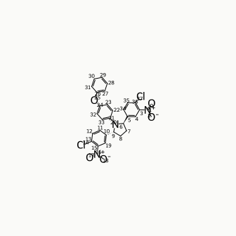 O=[N+]([O-])c1cc([C@H]2CC[C@H](c3ccc(Cl)c([N+](=O)[O-])c3)N2c2ccc(Oc3ccccc3)cc2)ccc1Cl